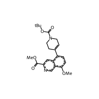 COC(=O)c1cc2c(C3=CCN(C(=O)OC(C)(C)C)CC3)ccc(OC)c2cn1